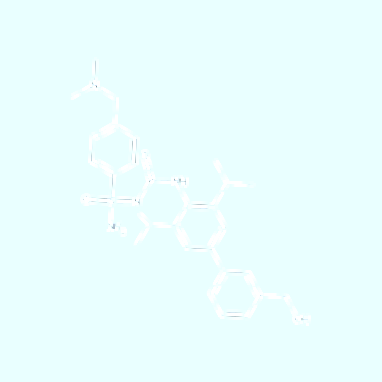 CC(C)c1cc(-c2cccc(CO)c2)cc(C(C)C)c1NC(=O)N=S(N)(=O)c1ccc(CN(C)C)cc1